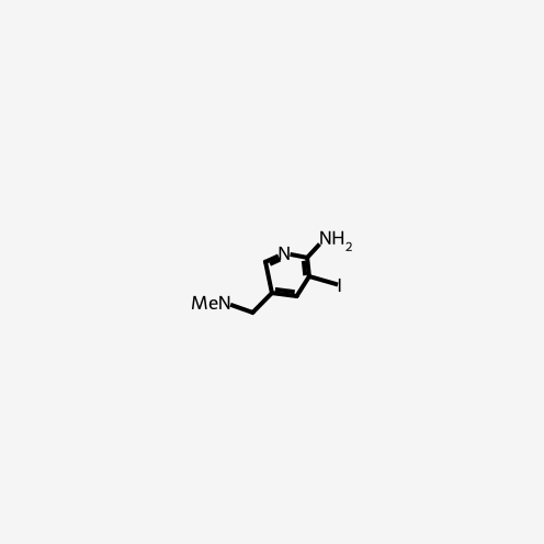 CNCc1cnc(N)c(I)c1